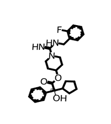 N=C(NCc1ccccc1F)N1CCC(OC(=O)[C@](O)(c2ccccc2)C2CCCC2)CC1